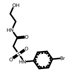 O=C(CS(=O)(=O)Nc1ccc(Br)cc1)NCCO